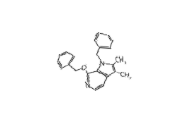 Cc1c(C)n(Cc2ccccc2)c2c(OCc3ccccc3)nccc12